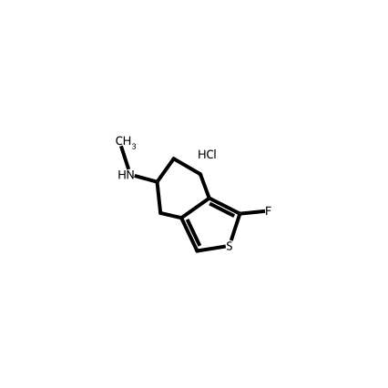 CNC1CCc2c(csc2F)C1.Cl